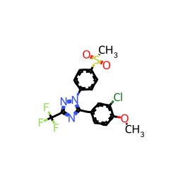 COc1ccc(-c2nc(C(F)(F)F)nn2-c2ccc(S(C)(=O)=O)cc2)cc1Cl